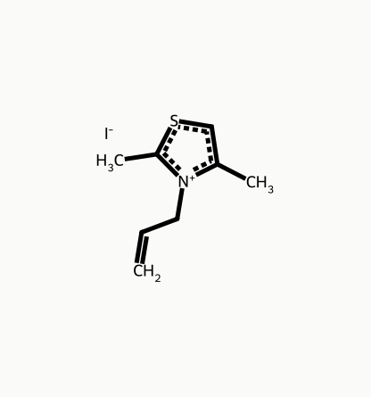 C=CC[n+]1c(C)csc1C.[I-]